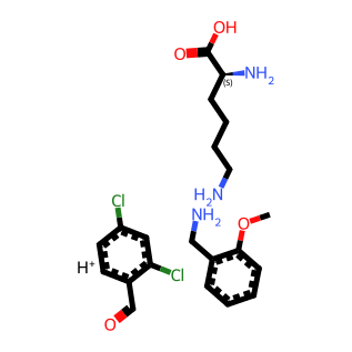 COc1ccccc1CN.NCCCC[C@H](N)C(=O)O.O=Cc1ccc(Cl)cc1Cl.[H+]